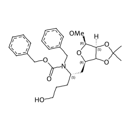 CO[C@@H]1O[C@H](C[C@H](CCCO)N(Cc2ccccc2)C(=O)OCc2ccccc2)C2OC(C)(C)O[C@@H]21